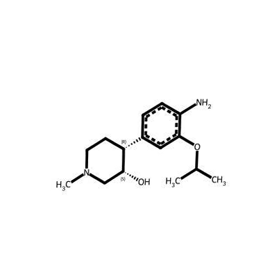 CC(C)Oc1cc([C@H]2CCN(C)C[C@H]2O)ccc1N